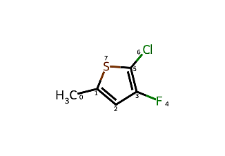 Cc1cc(F)c(Cl)s1